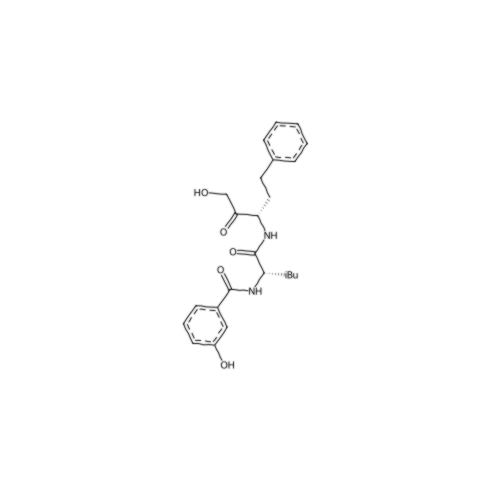 CCC(C)[C@H](NC(=O)c1cccc(O)c1)C(=O)N[C@@H](CCc1ccccc1)C(=O)CO